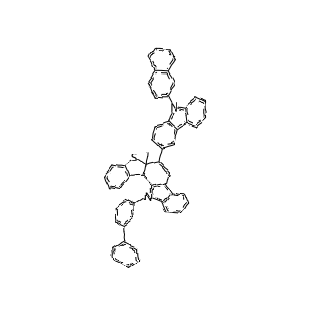 CC12Sc3ccccc3C1c1c(c3ccccc3n1-c1cccc(-c3ccccc3)c1)C=C2c1ccc2c(c1)c1ccccc1n2-c1ccc2ccccc2c1